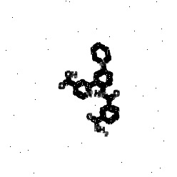 NC(=O)c1cccc(C(=O)Nc2ccc(N3CCCCC3)cc2-c2cc(C(=O)O)ccn2)c1